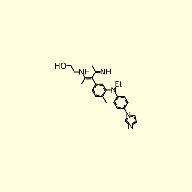 CCN(c1ccc(-n2ccnc2)cc1)c1cc(/C(C(C)=N)=C(\C)NCCO)ccc1C